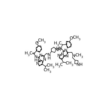 COc1cccc(C(C)Nc2nc(CN(C)CC3CNC3)nc3c(C(C)C)cnn23)c1.COc1cccc([C@H](C)Nc2nc(CNC3CCNC3)nc3c(C(C)C)cnn23)c1